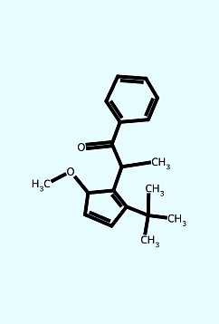 COC1C=CC(C(C)(C)C)=C1C(C)C(=O)c1ccccc1